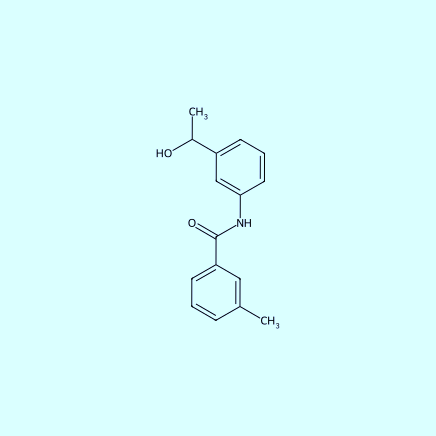 Cc1cccc(C(=O)Nc2cccc(C(C)O)c2)c1